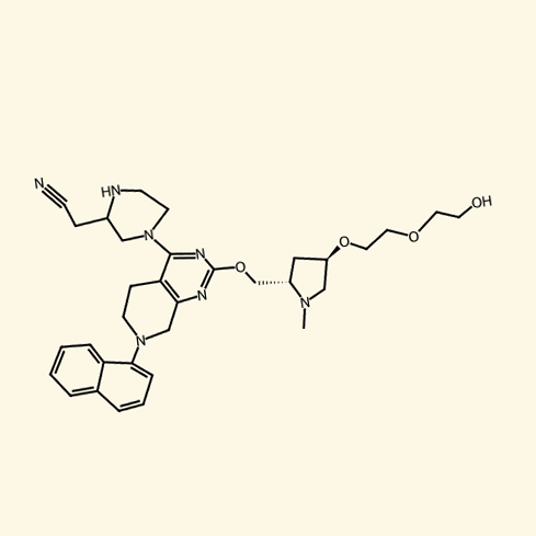 CN1C[C@H](OCCOCCO)C[C@H]1COc1nc2c(c(N3CCNC(CC#N)C3)n1)CCN(c1cccc3ccccc13)C2